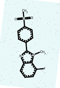 Cn1c(-c2ccc(S(C)(=O)=O)cc2)nc2cccc(F)c21